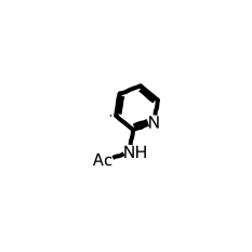 CC(=O)Nc1[c]cccn1